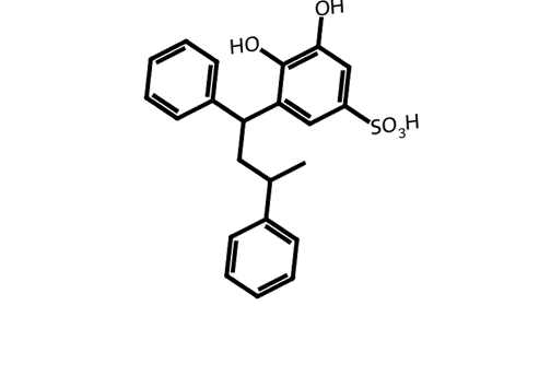 CC(CC(c1ccccc1)c1cc(S(=O)(=O)O)cc(O)c1O)c1ccccc1